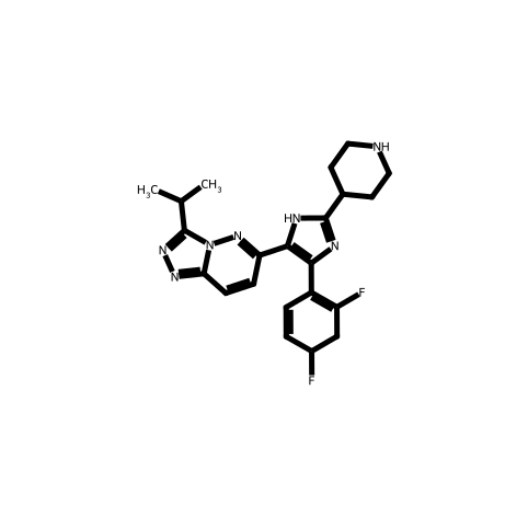 CC(C)c1nnc2ccc(-c3[nH]c(C4CCNCC4)nc3C3=C(F)CC(F)C=C3)nn12